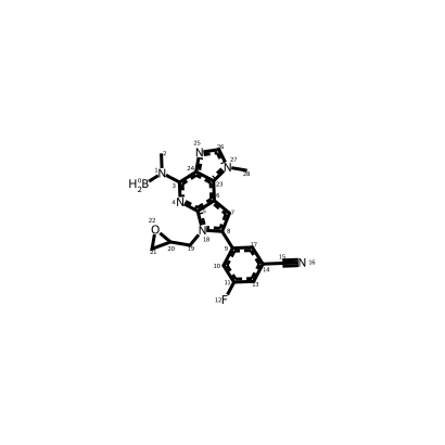 BN(C)c1nc2c(cc(-c3cc(F)cc(C#N)c3)n2CC2CO2)c2c1ncn2C